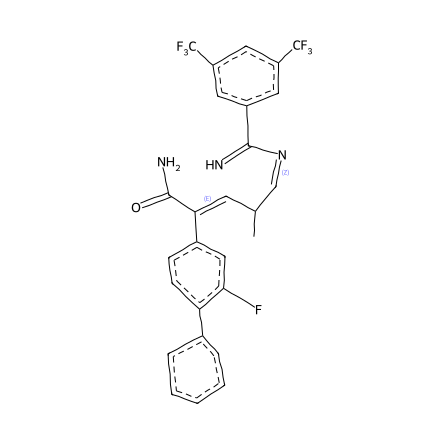 CC(/C=N\C(=N)c1cc(C(F)(F)F)cc(C(F)(F)F)c1)/C=C(/C(N)=O)c1ccc(-c2ccccc2)c(F)c1